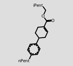 CCCCCc1ccc(C2CC=C(C(=O)OCC(C)CCC)CC2)cc1